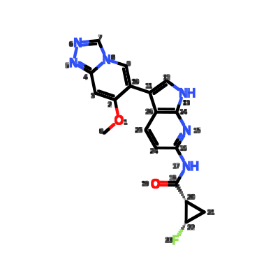 COc1cc2nncn2cc1-c1c[nH]c2nc(NC(=O)[C@@H]3C[C@@H]3F)ccc12